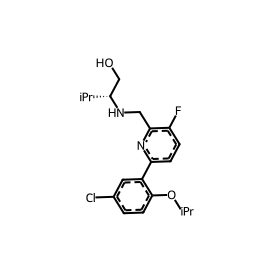 CC(C)Oc1ccc(Cl)cc1-c1ccc(F)c(CN[C@@H](CO)C(C)C)n1